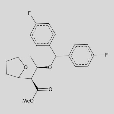 COC(=O)[C@H]1C2CCC(C[C@H]1OC(c1ccc(F)cc1)c1ccc(F)cc1)O2